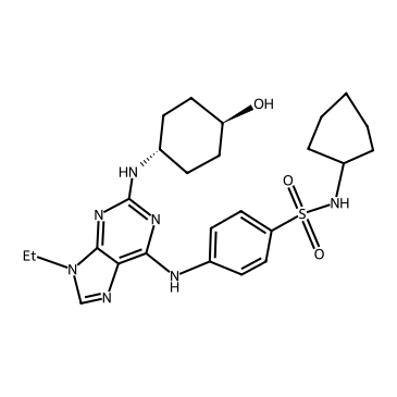 CCn1cnc2c(Nc3ccc(S(=O)(=O)NC4CCCCC4)cc3)nc(N[C@H]3CC[C@H](O)CC3)nc21